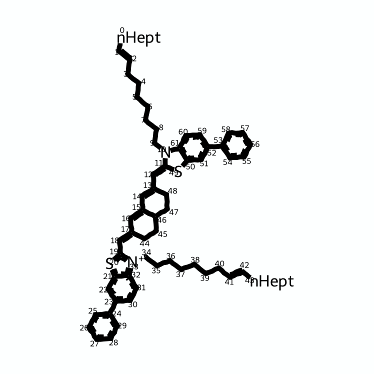 CCCCCCCC=CCCCCCCCN1/C(=C/C2=CC3=C/C(=C/c4sc5cc(-c6ccccc6)ccc5[n+]4CCCCCCCC=CCCCCCCC)CCC3CC2)Sc2cc(-c3ccccc3)ccc21